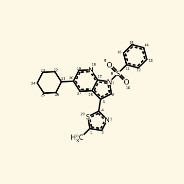 Cc1cnc(-c2cn(S(=O)(=O)c3ccccc3)c3ncc(C4CCCCC4)cc23)s1